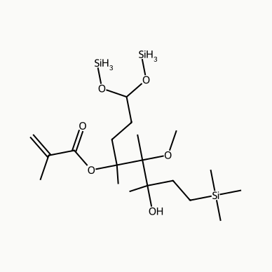 C=C(C)C(=O)OC(C)(CCC(O[SiH3])O[SiH3])C(C)(OC)C(C)(O)CC[Si](C)(C)C